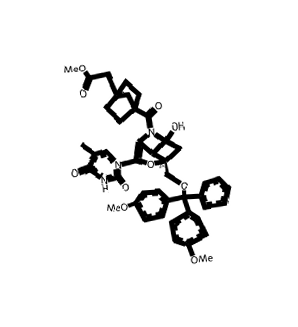 COC(=O)CC12CCC(C(=O)N3C4=C(n5cc(C)c(=O)[nH]c5=O)O[C@@]5(COC(c6ccccc6)(c6ccc(OC)cc6)c6ccc(OC)cc6)CC3(O)C45)(CC1)C2